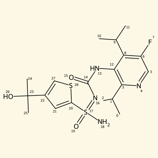 CC(C)c1ncc(F)c(C(C)C)c1NC(=O)N=S(N)(=O)c1cc(C(C)(C)O)cs1